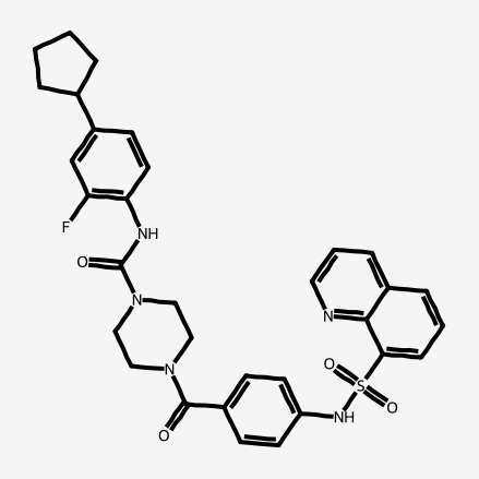 O=C(Nc1ccc(C2CCCC2)cc1F)N1CCN(C(=O)c2ccc(NS(=O)(=O)c3cccc4cccnc34)cc2)CC1